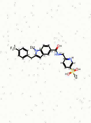 CCn1c(Cc2ccc(C(F)(F)F)cc2)cc2cc(C(=O)NCc3ccc(S(=O)(=O)CC)cn3)ccc21